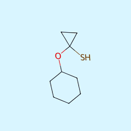 SC1(OC2CCCCC2)CC1